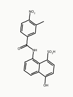 Cc1cc(C(=O)Nc2cccc3c(O)ccc(S(=O)(=O)O)c23)ccc1[N+](=O)[O-]